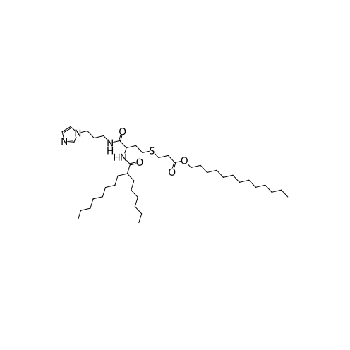 CCCCCCCCCCCCCOC(=O)CCSCCC(NC(=O)C(CCCCCC)CCCCCCCC)C(=O)NCCCn1ccnc1